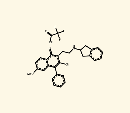 COc1ccc2c(=O)n(CCNC3Cc4ccccc4C3)c(C#N)c(-c3ccccc3)c2c1.O=C(O)C(F)(F)F